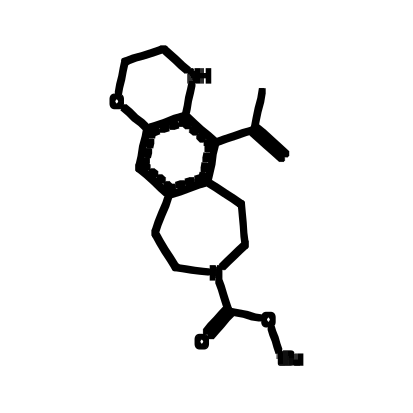 C=C(C)c1c2c(cc3c1NCCO3)CCN(C(=O)OC(C)(C)C)CC2